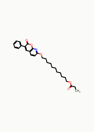 CCC(=O)OCCCCCCCCCCCOc1ccc2cc(-c3ccccc3)c(=O)oc2n1